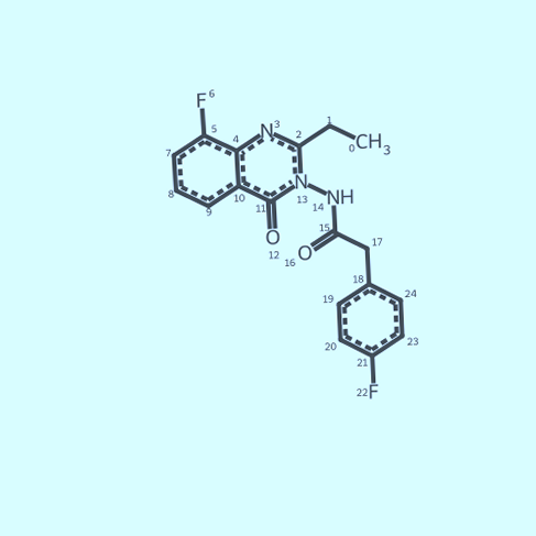 CCc1nc2c(F)cccc2c(=O)n1NC(=O)Cc1ccc(F)cc1